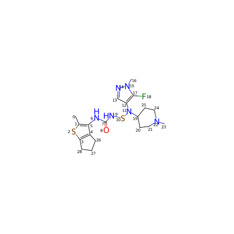 Cc1sc2c(c1NC(=O)NSN(c1cnn(C)c1F)C1CCN(C)CC1)CCC2